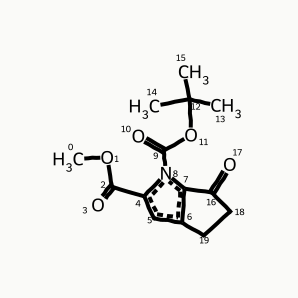 COC(=O)c1cc2c(n1C(=O)OC(C)(C)C)C(=O)CC2